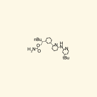 CCCCC(COC(N)=O)c1cccc(-c2cccc(Nc3cc(C(C)(C)C)ccn3)n2)c1